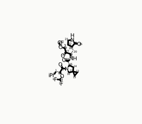 CC(C)C[C@@H](OC(F)F)C(=O)N1CC2(CC2)C[C@H]1C(=O)N[C@@H](C[C@@H]1CCNC1=O)C(=O)COC(F)(F)F